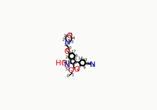 CCOC(=O)C1=C(c2ccc(C#N)cc2)c2ccc(OCCN3CCOCC3)cc2/C1=[N+](/C)O